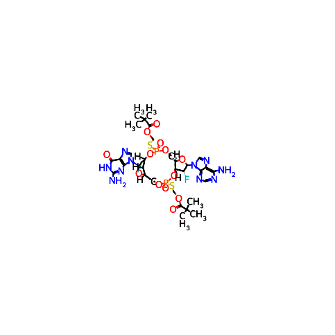 CC(C)(C)C(=O)OCSP1(=O)OC[C@H]2O[C@@H](n3cnc4c(N)ncnc43)[C@H](F)[C@@H]2OP(=O)(SCOC(=O)C(C)(C)C)OC[C@H]2O[C@@H](n3cnc4c(=O)[nH]c(N)nc43)[C@H](O1)[C@H]2F